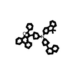 CC1(C)c2ccccc2-c2ccc(N(c3ccc(-c4cccc5ccccc45)cc3)c3ccc(-c4c(-c5ccccc5)oc5c6ccccc6c6ccccc6c45)cc3)cc21